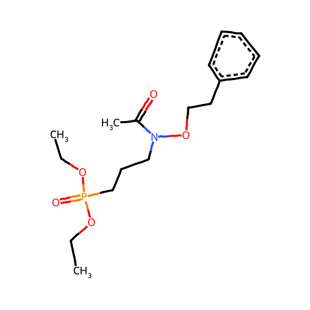 CCOP(=O)(CCCN(OCCc1ccccc1)C(C)=O)OCC